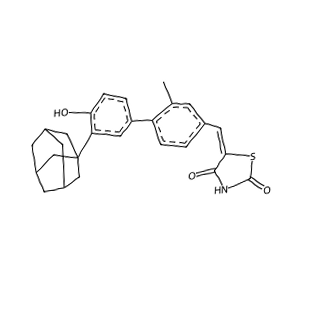 Cc1cc(C=C2SC(=O)NC2=O)ccc1-c1ccc(O)c(C23CC4CC(CC(C4)C2)C3)c1